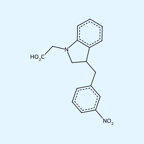 O=C(O)CN1CC(Cc2cccc([N+](=O)[O-])c2)c2ccccc21